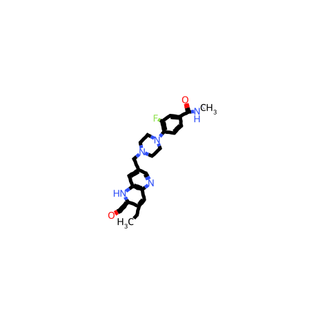 CCC1=Cc2ncc(CN3CCN(c4ccc(C(=O)NC)cc4F)CC3)cc2NC1=C=O